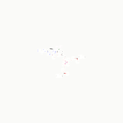 CC(C)(C)C(=O)OCOP(=O)(OCOC(=O)C(C)(C)C)OC[C@@H]1CC(F)(F)[C@H](n2ccc(N)nc2=O)O1